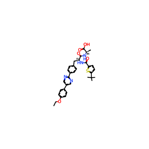 CCOc1ccc(-c2cnc(-c3ccc(C[C@H](NC(=O)c4ccc(C(C)(C)C)s4)C(=O)N[C@H](C)C(=O)O)cc3)nc2)cc1